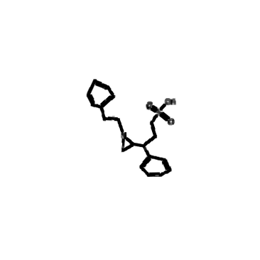 O=S(=O)(O)CCC(c1ccccc1)C1CN1CCc1ccccc1